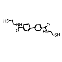 O=C(NCCS)c1ccc(-c2ccc(C(=O)NCCS)cc2)cc1